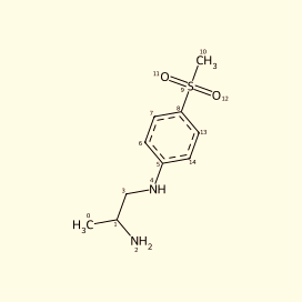 CC(N)CNc1ccc(S(C)(=O)=O)cc1